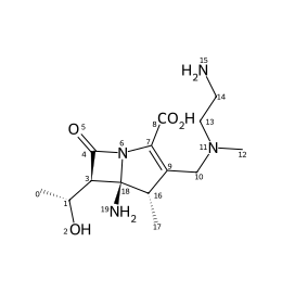 C[C@@H](O)[C@H]1C(=O)N2C(C(=O)O)=C(CN(C)CCN)[C@H](C)[C@]12N